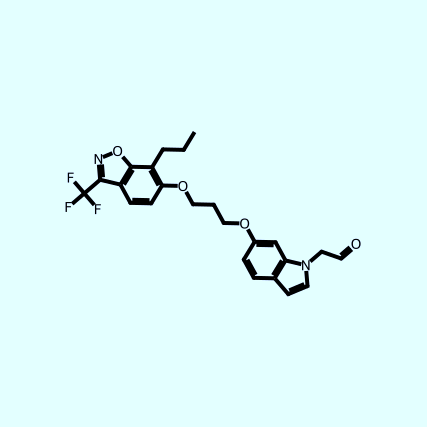 CCCc1c(OCCCOc2ccc3ccn(CC=O)c3c2)ccc2c(C(F)(F)F)noc12